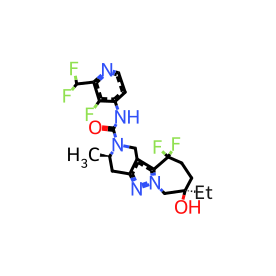 CC[C@@]1(O)CCC(F)(F)c2c3c(nn2C1)C[C@@H](C)N(C(=O)Nc1ccnc(C(F)F)c1F)C3